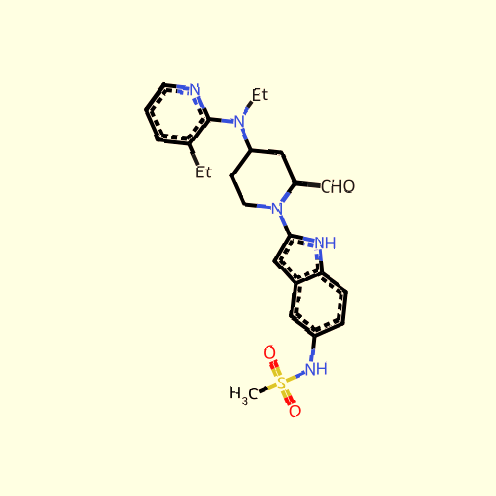 CCc1cccnc1N(CC)C1CCN(c2cc3cc(NS(C)(=O)=O)ccc3[nH]2)C(C=O)C1